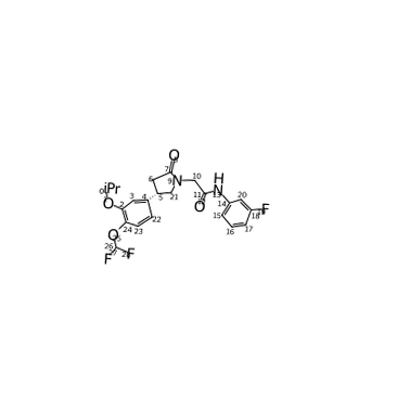 CC(C)Oc1cc([C@@H]2CC(=O)N(CC(=O)Nc3cccc(F)c3)C2)ccc1OC(F)F